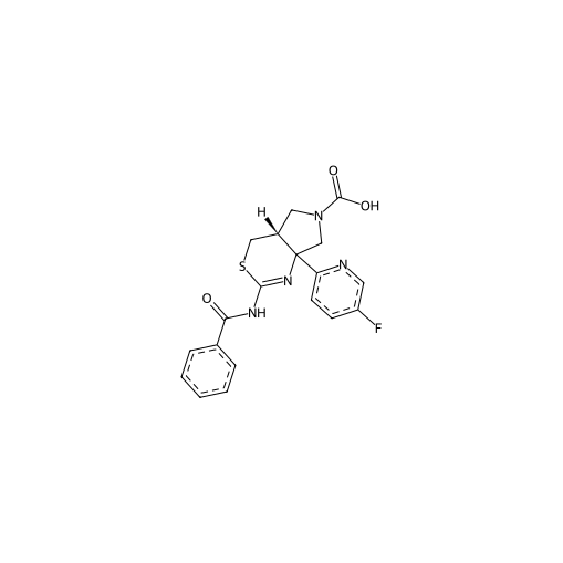 O=C(NC1=NC2(c3ccc(F)cn3)CN(C(=O)O)C[C@H]2CS1)c1ccccc1